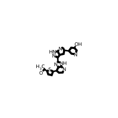 CC(=O)c1ccc(-c2ccnc3[nH]c(-c4n[nH]c5ncc(-c6cncc(O)c6)cc45)nc23)s1